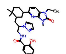 Cn1c(=O)n(CC(C)(C)C)c2ccc(C3CCC(C)(C)C(CC(CNC(=O)c4ccccc4O)n4cccn4)C3)nc21